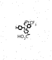 CC(C)CC[C@@H](c1ccc(I)cc1)N1CC[C@H](C(C)C(=O)O)C[C@@H]1c1ccc(C(F)(F)F)cc1